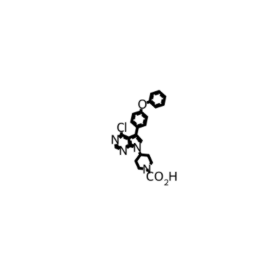 O=C(O)N1CCC(n2cc(-c3ccc(Oc4ccccc4)cc3)c3c(Cl)ncnc32)CC1